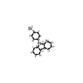 Brc1ccc(-n2c3ccccc3c3cccnc32)cc1